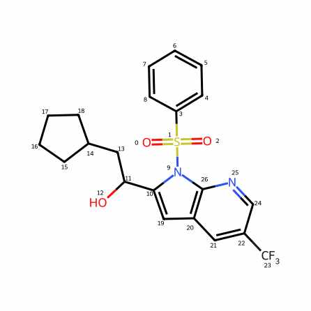 O=S(=O)(c1ccccc1)n1c(C(O)CC2CCCC2)cc2cc(C(F)(F)F)cnc21